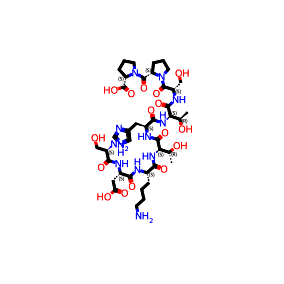 C[C@@H](O)[C@H](NC(=O)[C@H](CCCCN)NC(=O)[C@H](CC(=O)O)NC(=O)[C@@H](N)CO)C(=O)N[C@@H](Cc1c[nH]cn1)C(=O)N[C@H](C(=O)N[C@@H](CO)C(=O)N1CCC[C@H]1C(=O)N1CCC[C@H]1C(=O)O)[C@@H](C)O